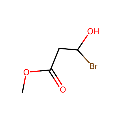 COC(=O)CC(O)Br